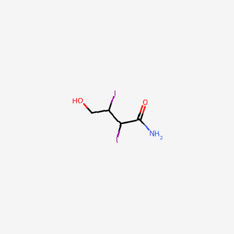 NC(=O)C(I)C(I)CO